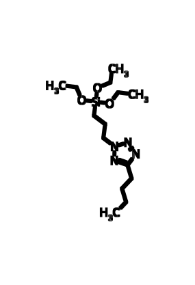 CCCCc1nnn(CCC[Si](OCC)(OCC)OCC)n1